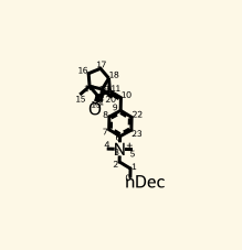 CCCCCCCCCCCC[N+](C)(C)c1ccc(C=C2C(=O)C3(C)CCC2C3(C)C)cc1